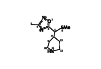 CSC(c1nc(C)no1)C1CCNCC1